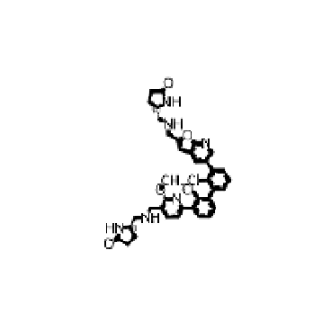 COc1nc(-c2cccc(-c3cccc(-c4cnc5oc(CNC[C@@H]6CCC(=O)N6)cc5c4)c3Cl)c2Cl)ccc1CNC[C@H]1CCC(=O)N1